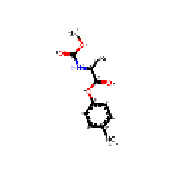 CCC(C)C(NC(=O)OC(C)(C)C)C(=O)Oc1ccc([N+](=O)[O-])cc1